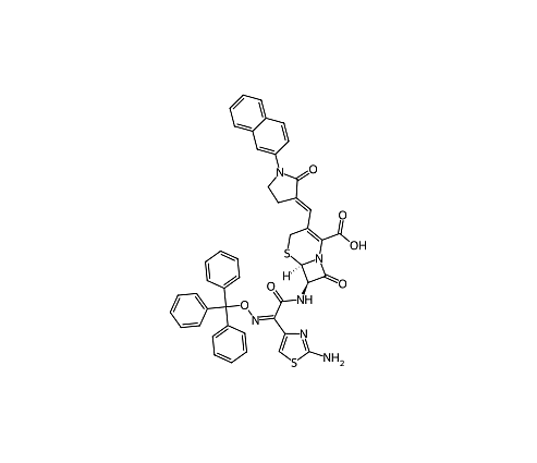 Nc1nc(/C(=N/OC(c2ccccc2)(c2ccccc2)c2ccccc2)C(=O)N[C@@H]2C(=O)N3C(C(=O)O)=C(/C=C4\CCN(c5ccc6ccccc6c5)C4=O)CS[C@H]23)cs1